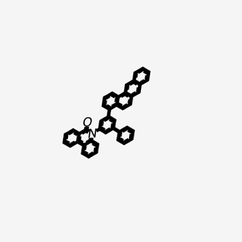 O=c1c2ccccc2c2ccccc2n1-c1cc(-c2ccccc2)cc(-c2cccc3c2ccc2cc4ccccc4cc23)c1